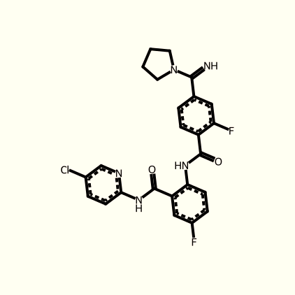 N=C(c1ccc(C(=O)Nc2ccc(F)cc2C(=O)Nc2ccc(Cl)cn2)c(F)c1)N1CCCC1